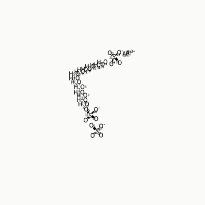 O.O.O.O.O.O.O.O.O.O.O.O.O.O.O.O=S(=O)([O-])[O-].O=S(=O)([O-])[O-].O=S(=O)([O-])[O-].[Al+3].[Al+3]